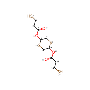 O=C(CCS)OC1CSC(OC(=O)CCS)CS1